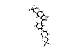 FC(F)(F)CN1CCN(c2cc(-c3n[nH]c4ccc(OC(F)(F)F)cc34)ccn2)CC1